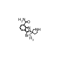 CC1(n2nc3c(C(N)=O)cccc3c2Br)CCNC1